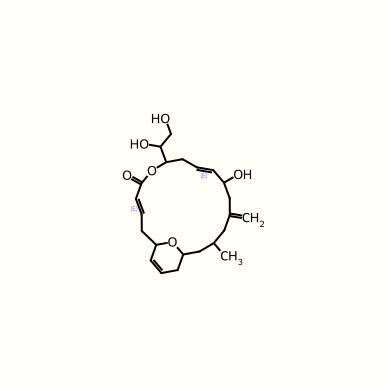 C=C1CC(O)/C=C/CC(C(O)CO)OC(=O)/C=C/CC2C=CCC(CC(C)C1)O2